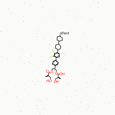 C=C(CO)C(=O)OCC(COC(O)C(=C)CO)c1ccc(-c2ccc(C3CCC(C4CCC(CCCCC)CC4)CC3)c(F)c2F)cc1